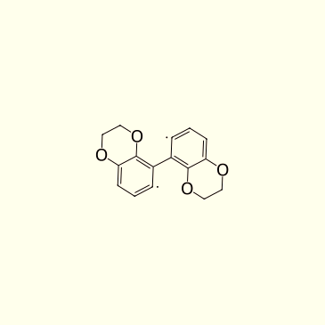 [c]1ccc2c(c1-c1[c]ccc3c1OCCO3)OCCO2